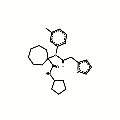 O=C(Cc1cccs1)N(c1cccc(F)c1)C1(C(=O)NC2CCCC2)CCCCCC1